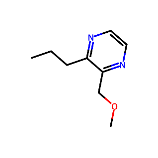 CCCc1nccnc1COC